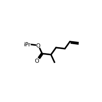 C=CCCC(C)C(=O)OC(C)C